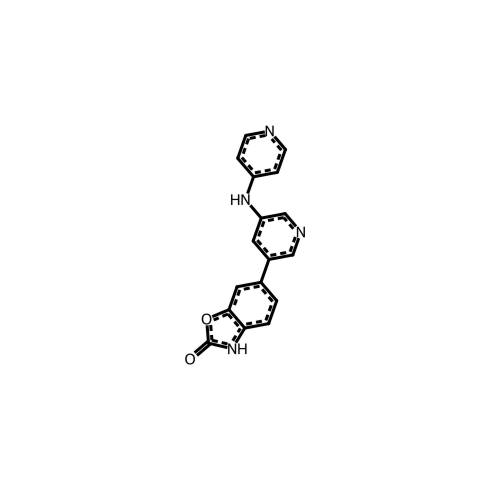 O=c1[nH]c2ccc(-c3cncc(Nc4ccncc4)c3)cc2o1